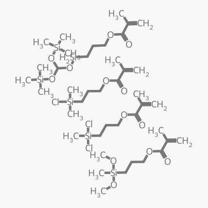 C=C(C)C(=O)OCCC[SiH2]OC(O[Si](C)(C)C)O[Si](C)(C)C.C=C(C)C(=O)OCCC[Si](C)(C)Cl.C=C(C)C(=O)OCCC[Si](C)(Cl)Cl.C=C(C)C(=O)OCCC[Si](C)(OC)OC